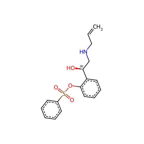 C=CCNC[C@H](O)c1ccccc1OS(=O)(=O)c1ccccc1